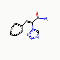 NC(=O)C(=Cc1ccccc1)n1cnnn1